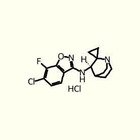 Cl.Fc1c(Cl)ccc2c(N[C@@H]3C4CCN(CC4)C34CC4)noc12